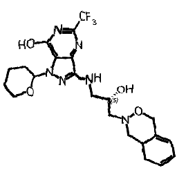 Oc1nc(C(F)(F)F)nc2c(NC[C@H](O)CN3CC4CC=CC=C4CO3)nn(C3CCCCO3)c12